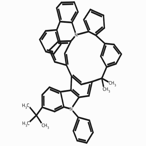 CC(C)(C)c1ccc2c3c4cc(cc3n(-c3ccccc3)c2c1)C(C)(C)c1cccc(c1)-c1ccccc1N(c1ccccc1-c1ccccc1)c1cccc-4c1